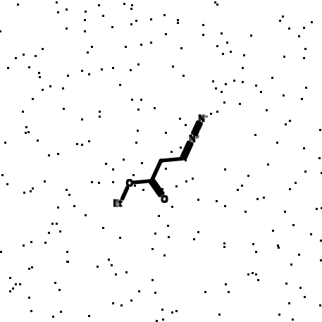 CCOC(=O)CC=[N+]=[N-]